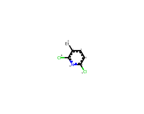 CCc1ccc(Cl)nc1Cl